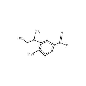 CN(CO)c1cc([N+](=O)[O-])ccc1N